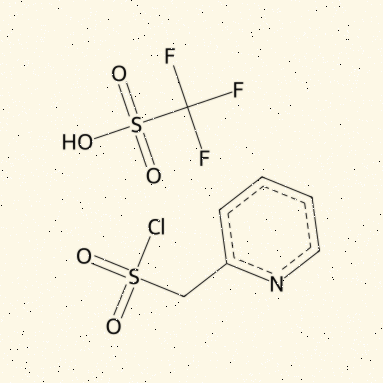 O=S(=O)(Cl)Cc1ccccn1.O=S(=O)(O)C(F)(F)F